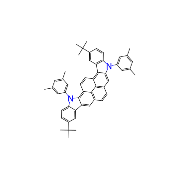 Cc1cc(C)cc(-n2c3ccc(C(C)(C)C)cc3c3c4ccc5c6c(ccc(cc32)c46)cc2c3cc(C(C)(C)C)ccc3n(-c3cc(C)cc(C)c3)c25)c1